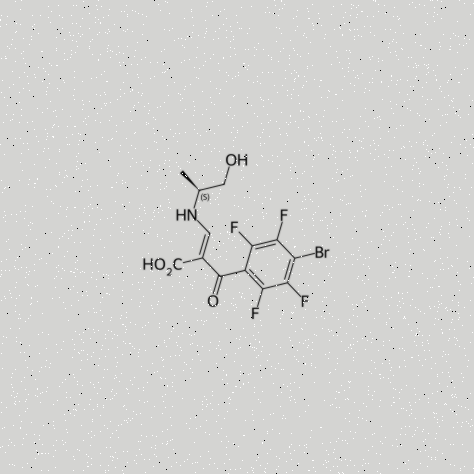 C[C@@H](CO)NC=C(C(=O)O)C(=O)c1c(F)c(F)c(Br)c(F)c1F